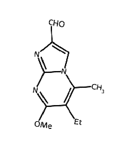 CCc1c(OC)nc2nc(C=O)cn2c1C